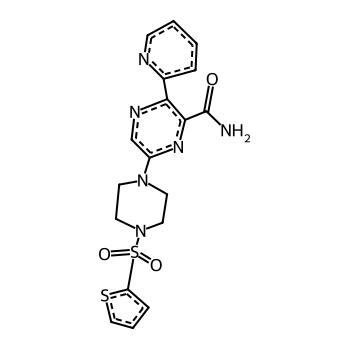 NC(=O)c1nc(N2CCN(S(=O)(=O)c3cccs3)CC2)cnc1-c1ccccn1